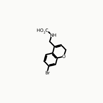 O=C(O)NCC1=CCOc2cc(Br)ccc21